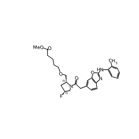 COC(=O)CCCCOC[C@@H]1C[C@H](F)CN1C(=O)Cc1ccc2nc(Nc3ccccc3C)oc2c1